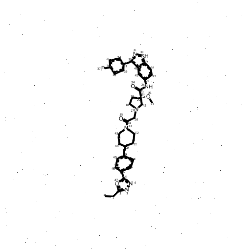 CCc1nnc(-c2ccc(C3CCN(C(=O)CN4CC[C@@](OC)(C(=O)Nc5ccc6[nH]nc(-c7ccc(F)cc7)c6c5)C4)CC3)cc2)o1